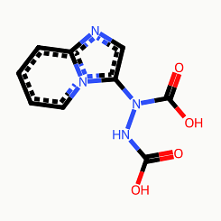 O=C(O)NN(C(=O)O)c1cnc2ccccn12